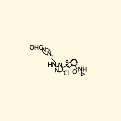 O=CN1CCN(CCCNc2ncc(Cl)c(-c3cc4c(C(=O)NC5CC5)cccc4s3)n2)CC1